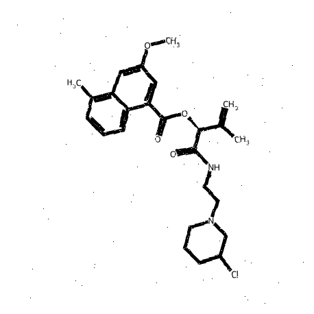 C=C(C)[C@H](OC(=O)c1cc(OC)cc2c(C)cccc12)C(=O)NCCN1CCCC(Cl)C1